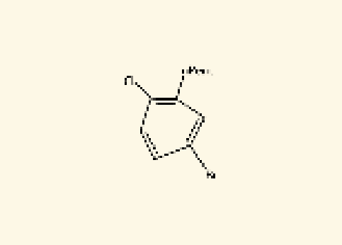 CCCCCc1cc(Br)ccc1Cl